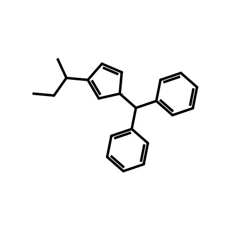 CCC(C)C1=C[C](C(c2ccccc2)c2ccccc2)C=C1